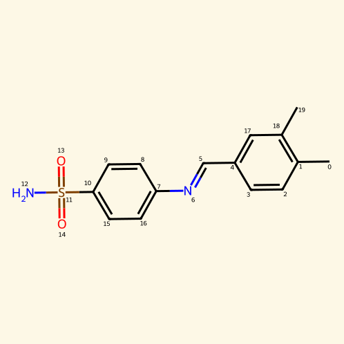 Cc1ccc(/C=N/c2ccc(S(N)(=O)=O)cc2)cc1C